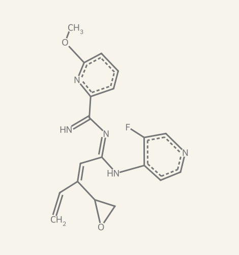 C=C/C(=C/C(=N\C(=N)c1cccc(OC)n1)Nc1ccncc1F)C1CO1